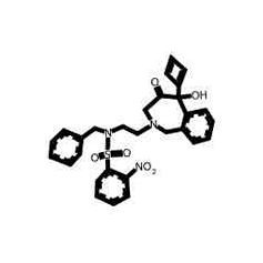 O=C1CN(CCN(Cc2ccccc2)S(=O)(=O)c2ccccc2[N+](=O)[O-])Cc2ccccc2C1(O)C1=CC=C1